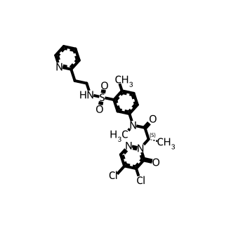 Cc1ccc(N(C)C(=O)[C@H](C)n2ncc(Cl)c(Cl)c2=O)cc1S(=O)(=O)NCCc1ccccn1